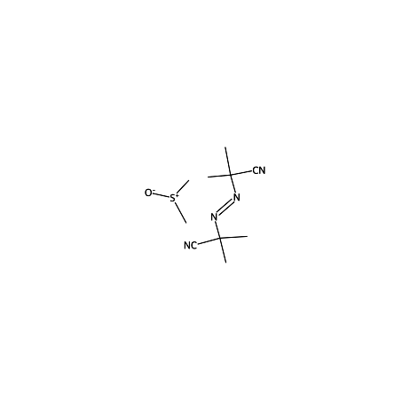 CC(C)(C#N)N=NC(C)(C)C#N.C[S+](C)[O-]